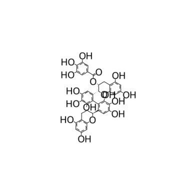 O=C(O[C@@H]1Cc2c(O)cc(O)cc2O[C@@H]1c1cc(O)c(O)c(O)c1-c1c([C@@H]2CCc3c(O)cc(O)cc3O2)cc(O)c(O)c1O)c1cc(O)c(O)c(O)c1